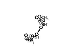 CN1CCc2ccccc2[C@@H]1C(=O)N1CCCC1C(=O)Nc1ccc(C#Cc2ccc(NC(=O)C3CCCN3C(=O)[C@H]3c4ccccc4CCN3C)cc2)cc1